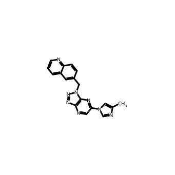 Cc1cn(-c2cnc3nnn(Cc4ccc5ncccc5c4)c3n2)cn1